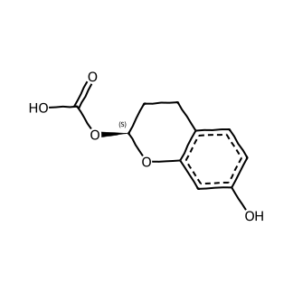 O=C(O)O[C@H]1CCc2ccc(O)cc2O1